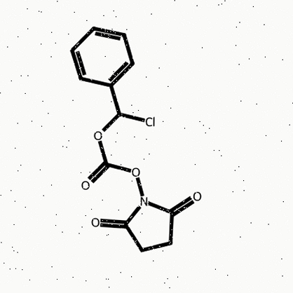 O=C(OC(Cl)c1ccccc1)ON1C(=O)CCC1=O